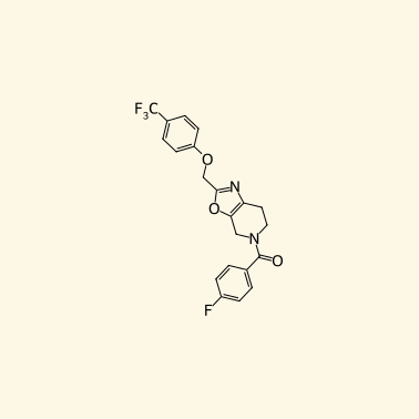 O=C(c1ccc(F)cc1)N1CCc2nc(COc3ccc(C(F)(F)F)cc3)oc2C1